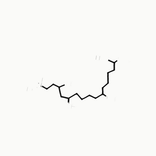 CNCCC(C)CC(C)CCCCC(C)CCCCC(C)C